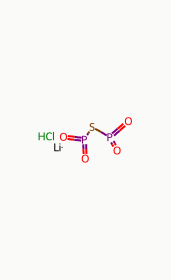 Cl.O=P(=O)SP(=O)=O.[Li]